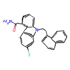 NC(=O)c1cccc2c1c1[c]cc(F)cc1n2Cc1cccc2ccccc12